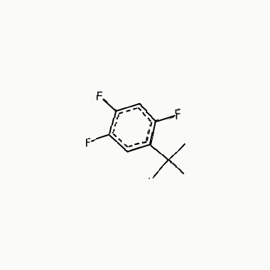 [CH2]C(C)(C)c1cc(F)c(F)cc1F